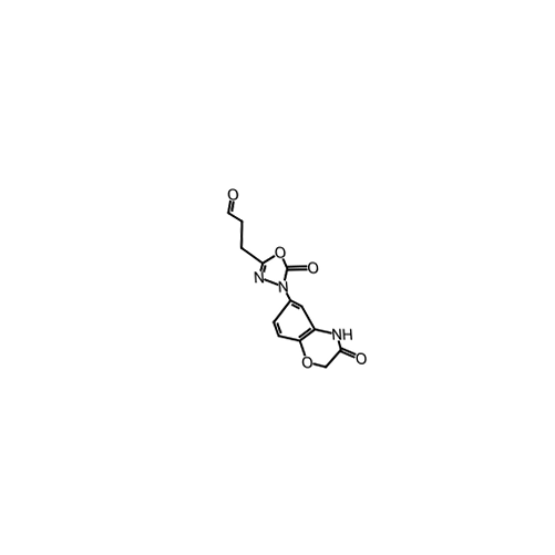 O=CCCc1nn(-c2ccc3c(c2)NC(=O)CO3)c(=O)o1